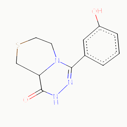 O=C1NN=C(c2cccc(O)c2)N2CCSCC12